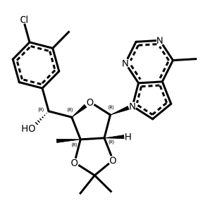 Cc1cc([C@@H](O)[C@H]2O[C@@H](n3ccc4c(C)ncnc43)[C@@H]3OC(C)(C)O[C@]23C)ccc1Cl